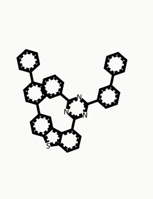 c1ccc(-c2ccc(-c3ccc4sc5cccc(-c6nc(-c7ccccc7)nc(-c7cccc(-c8ccccc8)c7)n6)c5c4c3)cc2)cc1